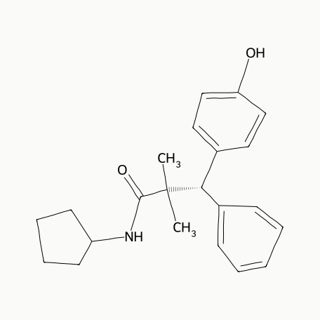 CC(C)(C(=O)NC1CCCC1)[C@@H](c1ccccc1)c1ccc(O)cc1